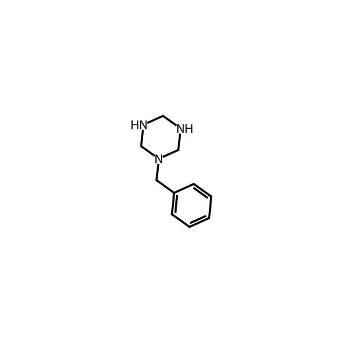 c1ccc(CN2CNCNC2)cc1